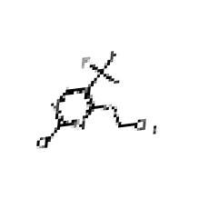 CCSc1nc(Cl)ncc1C(F)(F)F